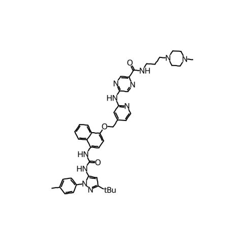 Cc1ccc(-n2nc(C(C)(C)C)cc2NC(=O)Nc2ccc(OCc3ccnc(Nc4cnc(C(=O)NCCCN5CCN(C)CC5)cn4)c3)c3ccccc23)cc1